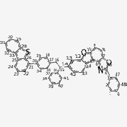 c1ccc(-c2nc3c(ccc4oc5cc(C(Cc6ccc(-c7cccc8c7sc7ccccc78)cc6)c6ccccc6)ccc5c43)o2)cc1